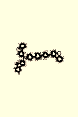 CC1(C)c2ccccc2-c2ccc(N(c3ccc(-c4ccc(-c5ccc(-c6ccc7oc8ccccc8c7c6)cc5)cc4)cc3)c3ccc4oc5ccccc5c4c3)cc21